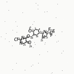 COc1ccc(-c2nc(C(F)(F)F)cn2C)cc1COc1nc(Cl)ncc1OC